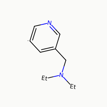 CCN(CC)Cc1c[c]cnc1